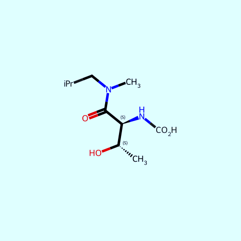 CC(C)CN(C)C(=O)[C@@H](NC(=O)O)[C@H](C)O